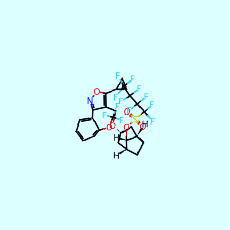 O=S(=O)(O[C@H]1[C@@H]2CC[C@H]1C[C@@H](OCc1c(-c3ccccc3OC(F)(F)F)noc1C1CC1)C2)C(F)(F)C(F)(F)C(F)(F)C(F)(F)F